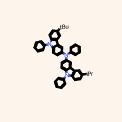 CC(C)c1ccc2c(c1)c1cc(N(c3ccccc3)c3ccc4c(c3)c3cc(C(C)(C)C)ccc3n4-c3ccccc3)ccc1n2-c1ccccc1